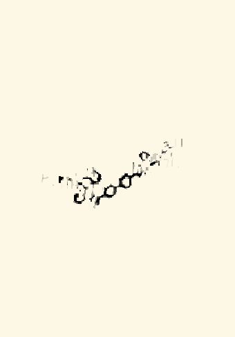 COC(=O)N[C@@H](C)C(=O)N1CCC[C@H]1c1ncc(-c2ccc(-c3ccc(-c4cnc([C@@H]5CCCN5C(C)[C@H](Cc5ccccn5)NC(=O)OC)[nH]4)cc3)cc2)[nH]1